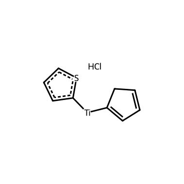 C1=CC[C]([Ti][c]2cccs2)=C1.Cl